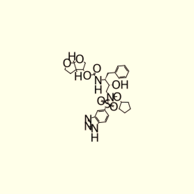 O=C(N[C@@H](Cc1ccccc1)[C@H](O)CN(OC1CCCC1)S(=O)(=O)c1ccc2[nH]nnc2c1)OC1CO[C@H]2OCC[C@@H]12